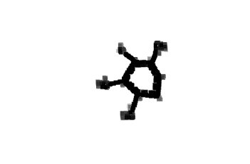 [O]c1c(O)ccc(O)c1O